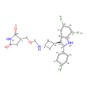 O=C1CC(COCN[C@H]2C[C@H](c3c(-c4ccc(F)cc4)[nH]c4c(F)cc(F)cc43)C2)C(=O)N1